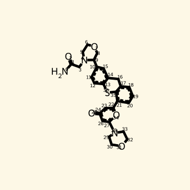 NC(=O)CN1CCOCC1c1ccc2c(c1)Cc1cccc(-c3cc(=O)cc(N4CCOCC4)o3)c1S2